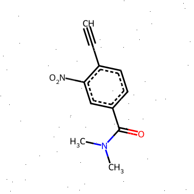 C#Cc1ccc(C(=O)N(C)C)cc1[N+](=O)[O-]